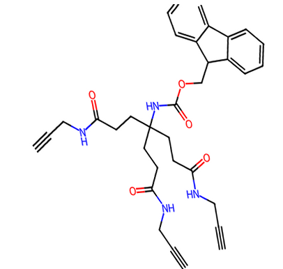 C#CCNC(=O)CCC(CCC(=O)NCC#C)(CCC(=O)NCC#C)NC(=O)OCC1c2ccccc2-c2ccccc21